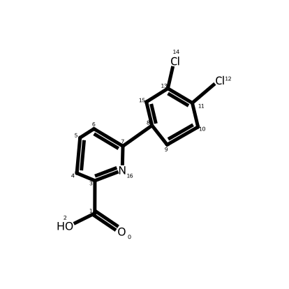 O=C(O)c1cccc(-c2ccc(Cl)c(Cl)c2)n1